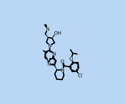 C=NC[C@@H]1CN(c2nc3cc([C@@H]4CCCCN4C(=O)c4cc(Cl)ccc4OC(C)C)nn3cc2C)C[C@@H]1O